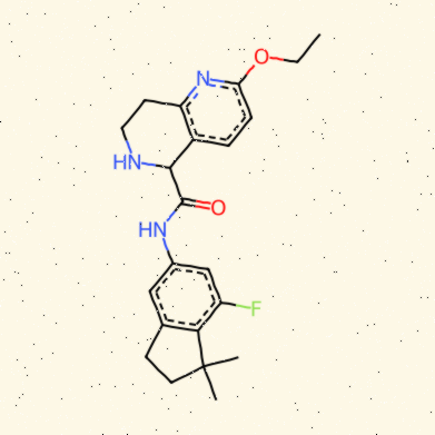 CCOc1ccc2c(n1)CCNC2C(=O)Nc1cc(F)c2c(c1)CCC2(C)C